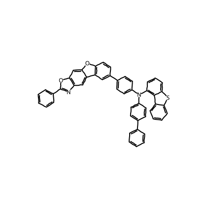 c1ccc(-c2ccc(N(c3ccc(-c4ccc5oc6cc7oc(-c8ccccc8)nc7cc6c5c4)cc3)c3cccc4sc5ccccc5c34)cc2)cc1